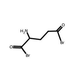 NC(CCC(=O)Br)C(=O)Br